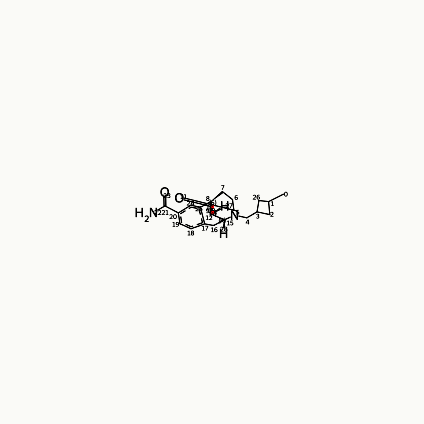 CC1CC(CN2CC[C@]34CC(=O)CC[C@H]3[C@H]2Cc2ccc(C(N)=O)cc24)C1